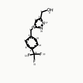 OCc1cn(Cc2ccc(C(F)(F)F)cc2)nn1